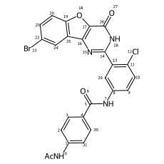 CC(=O)Nc1ccc(C(=O)Nc2ccc(Cl)c(-c3nc4c(oc5ccc(Br)cc54)c(=O)[nH]3)c2)cc1